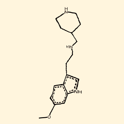 COc1ccc2c(CCNCC3CCNCC3)c[nH]c2c1